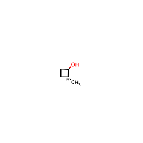 C[C@@H]1CCC1O